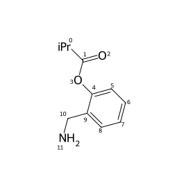 CC(C)C(=O)Oc1ccccc1CN